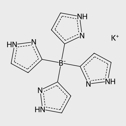 [K+].c1cc([B-](c2cc[nH]n2)(c2cc[nH]n2)c2cc[nH]n2)n[nH]1